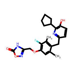 Cc1cc(OCc2noc(=O)[nH]2)c(F)c(C)c1Cc1ccc(O)c(C2CCCC2)n1